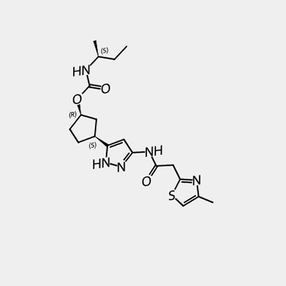 CC[C@H](C)NC(=O)O[C@@H]1CC[C@H](c2cc(NC(=O)Cc3nc(C)cs3)n[nH]2)C1